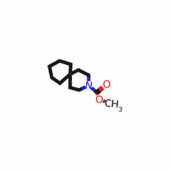 COC(=O)N1CCC2(CCCCC2)CC1